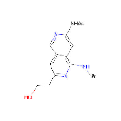 CC(=O)Nc1cc2c(NC(C)C)nc(CCO)cc2cn1